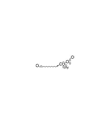 COc1cc(-c2oc3ccc(C#CCCCCCCCCCCCOCc4ccccc4)cc3c(=O)c2OC(=O)N(C)C)ccc1OCc1ccccc1